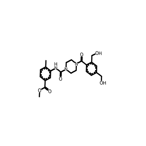 COC(=O)c1ccc(C)c(NC(=O)N2CCN(C(=O)c3ccc(CO)cc3CO)CC2)c1